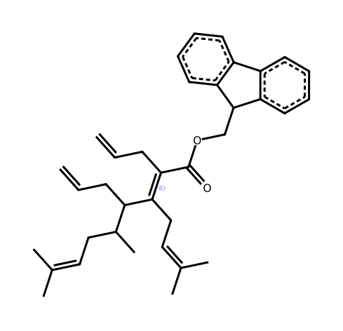 C=CC/C(C(=O)OCC1c2ccccc2-c2ccccc21)=C(/CC=C(C)C)C(CC=C)C(C)CC=C(C)C